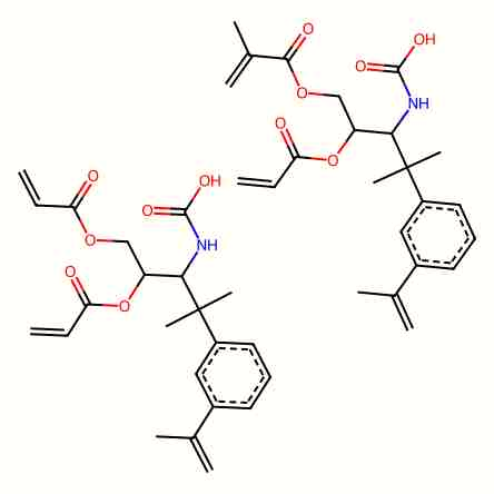 C=CC(=O)OC(COC(=O)C(=C)C)C(NC(=O)O)C(C)(C)c1cccc(C(=C)C)c1.C=CC(=O)OCC(OC(=O)C=C)C(NC(=O)O)C(C)(C)c1cccc(C(=C)C)c1